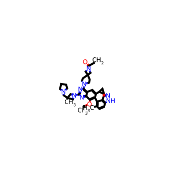 C=CC(=O)N1CC2(CCN(c3nc(N4CC(C)(CN5CCCC5)C4)nc4c(OCC(F)(F)F)c(-c5c(C)ccc6[nH]ncc56)c(C5CC5)cc34)CC2)C1